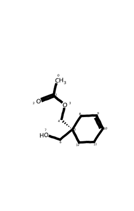 CC(=O)OC[C@]1(CO)CC=CCC1